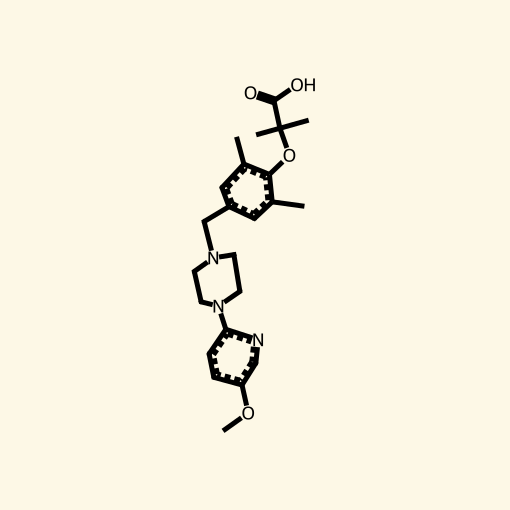 COc1ccc(N2CCN(Cc3cc(C)c(OC(C)(C)C(=O)O)c(C)c3)CC2)nc1